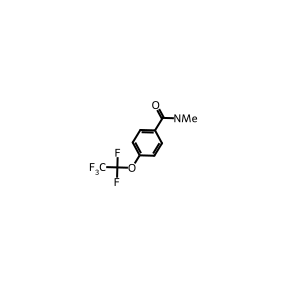 CNC(=O)c1ccc(OC(F)(F)C(F)(F)F)cc1